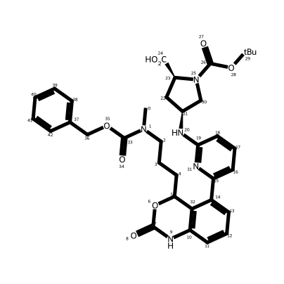 CN(CCCC1OC(=O)Nc2cccc(-c3cccc(N[C@H]4C[C@@H](C(=O)O)N(C(=O)OC(C)(C)C)C4)n3)c21)C(=O)OCc1ccccc1